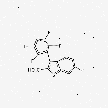 O=C(O)c1sc2cc(F)ccc2c1-c1c(F)c(F)cc(F)c1F